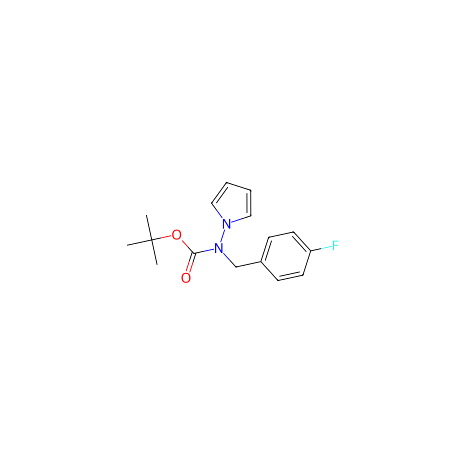 CC(C)(C)OC(=O)N(Cc1ccc(F)cc1)n1cccc1